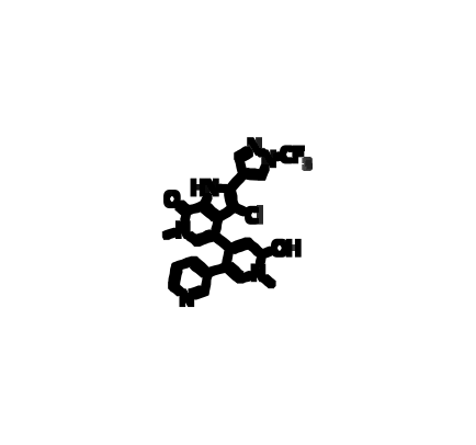 CN1C=C(c2cccnc2)C(c2cn(C)c(=O)c3[nH]c(-c4cnn(C(F)(F)F)c4)c(Cl)c23)=CC1O